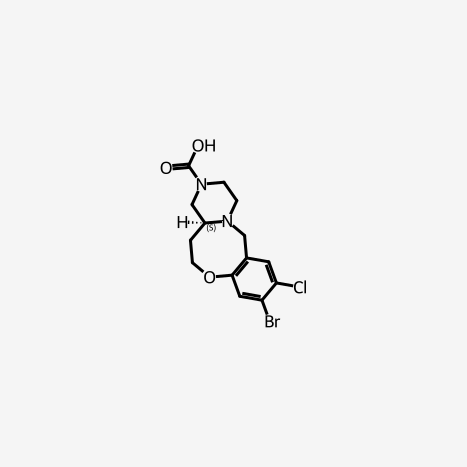 O=C(O)N1CCN2Cc3cc(Cl)c(Br)cc3OCC[C@H]2C1